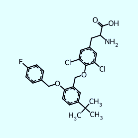 CC(C)(C)c1ccc(OCc2ccc(F)cc2)c(COc2c(Cl)cc(CC(N)C(=O)O)cc2Cl)c1